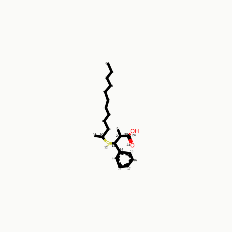 CCCCCCCCCCC(C)SC(c1ccccc1)C(C)C(=O)O